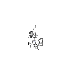 CCCCNS(=O)(=O)NC(=O)/C=C/c1c(C(F)(F)F)nn(C)c1-n1ccc2cccnc21